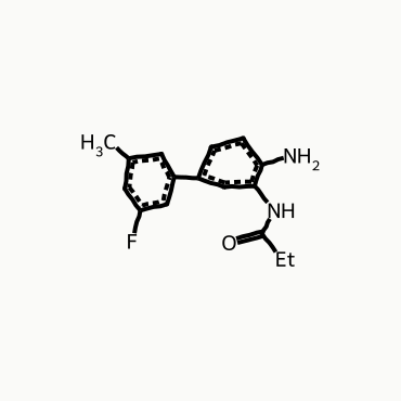 CCC(=O)Nc1cc(-c2cc(C)cc(F)c2)ccc1N